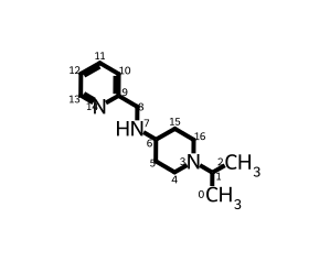 CC(C)N1CCC(NCc2ccccn2)CC1